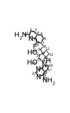 Nc1ccc2ccc(CC[C@@]34CC[C@@H]3[C@@H](n3ccc5c(N)ncnc53)[C@H](O)[C@@H]4O)c(F)c2n1